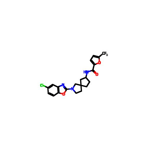 O=C(NC1CCC2(CCN(c3nc4cc(Cl)ccc4o3)C2)C1)c1ccc(C(F)(F)F)o1